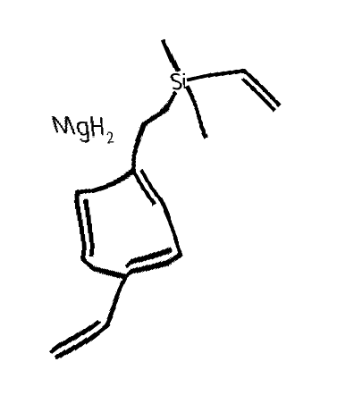 C=Cc1ccc(C[Si](C)(C)C=C)cc1.[MgH2]